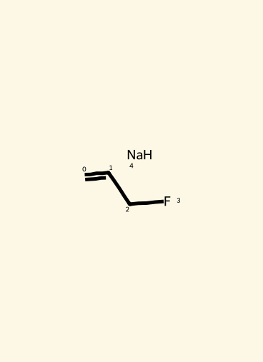 C=CCF.[NaH]